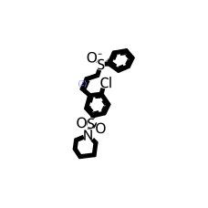 O=S(=O)(c1ccc(Cl)c(/C=C\C[S+]([O-])c2ccccc2)c1)N1CCCCC1